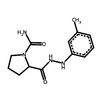 Cc1cccc(NNC(=O)C2CCCN2C(N)=O)c1